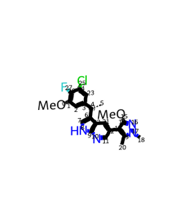 COc1cc([C@H](C)c2c[nH]c3ncc(-c4c(OC)nn(C)c4C)cc23)cc(Cl)c1F